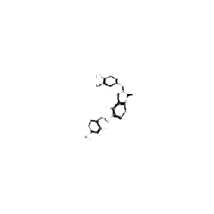 C=C1/C(=C/c2ccc(F)c(Cl)c2)Cc2cc(OCc3ccc(SC)cc3)ccc21